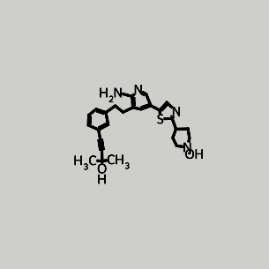 CC(C)(O)C#Cc1cccc(CCc2cc(-c3cnc(C4CCN(O)CC4)s3)cnc2N)c1